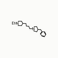 CCN1CCC(CCCCN2CCC(Cc3ccccc3)CC2)CC1